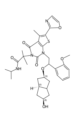 COc1ccccc1C(Cn1c(=O)n(C(C)(C)C(=O)NC(C)C)c(=O)c2c(C)c(-c3ncco3)sc21)O[C@H]1CC2C[C@@H](O)C[C@H]2C1